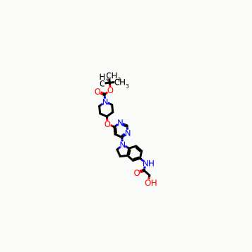 CC(C)(C)OC(=O)N1CCC(Oc2cc(N3CCc4cc(NC(=O)CO)ccc43)ncn2)CC1